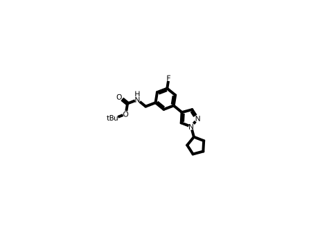 CC(C)(C)OC(=O)NCc1cc(F)cc(-c2cnn(C3CCCC3)c2)c1